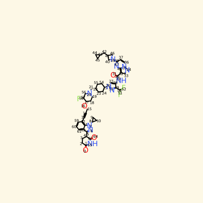 O=C1CCC(c2nn(C3CC3)c3c(C#CCO[C@H]4CCN(C[C@H]5CC[C@H](n6cc(NC(=O)c7cnn8ccc(N9CC(CC%10CC%10)C9)nc78)c(C(F)F)n6)CC5)C[C@H]4F)cccc23)C(=O)N1